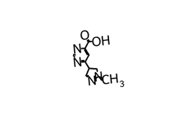 CN1CC(c2cc(C(=O)O)ncn2)C=N1